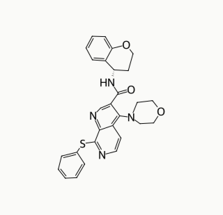 O=C(N[C@H]1CCOc2ccccc21)c1cnc2c(Sc3ccccc3)nccc2c1N1CCOCC1